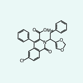 COC(=O)c1c(-c2ccccc2)c2cc(Cl)ccc2c(=O)n1C(Cc1ccccc1)C1=COCO1